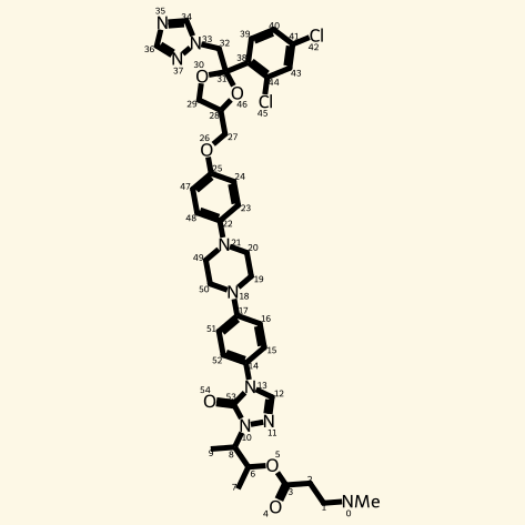 CNCCC(=O)OC(C)C(C)n1ncn(-c2ccc(N3CCN(c4ccc(OCC5COC(Cn6cncn6)(c6ccc(Cl)cc6Cl)O5)cc4)CC3)cc2)c1=O